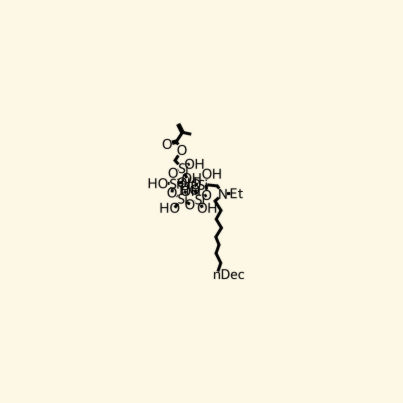 C=C(C)C(=O)OC[Si](O)(O)O[Si](O)(O)O[Si](O)(O)O[Si](O)(O)O[Si](O)(O)CN(CC)CCCCCCCCCCCCCCCCCC